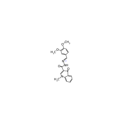 COc1ccc(/C=N/NC(=O)c2cn(C)c3ccccc3c2=O)cc1OC